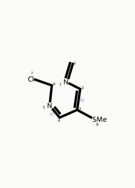 C=N/C=C(\C=N/CCl)SC